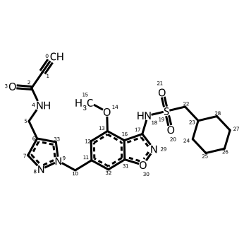 C#CC(=O)NCc1cnn(Cc2cc(OC)c3c(NS(=O)(=O)CC4CCCCC4)noc3c2)c1